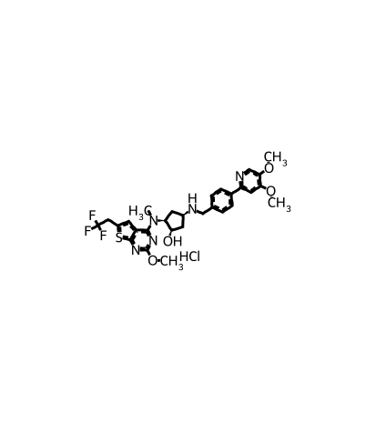 COc1nc(N(C)[C@H]2C[C@@H](NCc3ccc(-c4cc(OC)c(OC)cn4)cc3)C[C@H]2O)c2cc(CC(F)(F)F)sc2n1.Cl